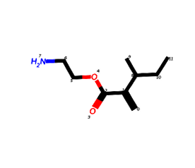 C=C(C(=O)OCCN)C(C)CC